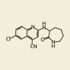 N#Cc1cc(NC2CCCCNC2=O)nc2ccc(Cl)cc12